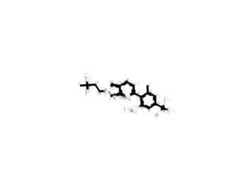 Cc1cc(C(F)(F)F)cc(O)c1-c1ccc2cn(CCC(C)(F)F)nc2n1